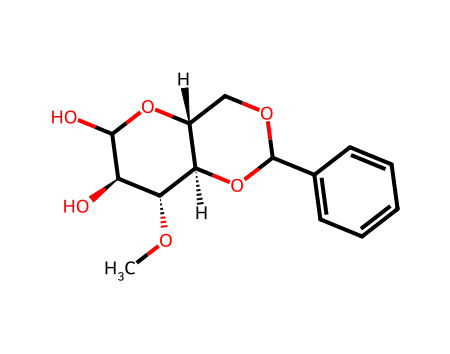 CO[C@H]1[C@@H]2OC(c3ccccc3)OC[C@H]2OC(O)[C@@H]1O